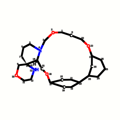 C1COCN2CCC[C@]3(COCCN3)[C@H]2COC2CCC(CC2)C2CCCC(C2)OC1